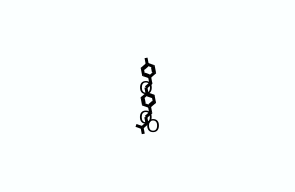 Cc1ccc(COc2ccc(COC(=O)C(C)C)cc2)cc1